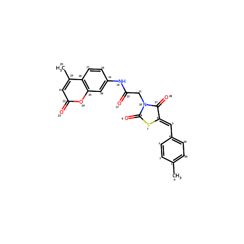 Cc1ccc(/C=C2\SC(=O)N(CC(=O)Nc3ccc4c(C)cc(=O)oc4c3)C2=O)cc1